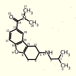 CC(C)CNC1CCc2oc3ccc(C(=O)N(C)C)cc3c2C1